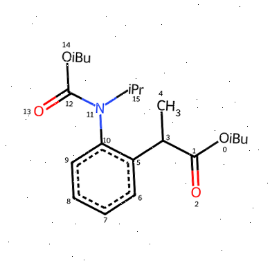 CC(C)COC(=O)C(C)c1ccccc1N(C(=O)OCC(C)C)C(C)C